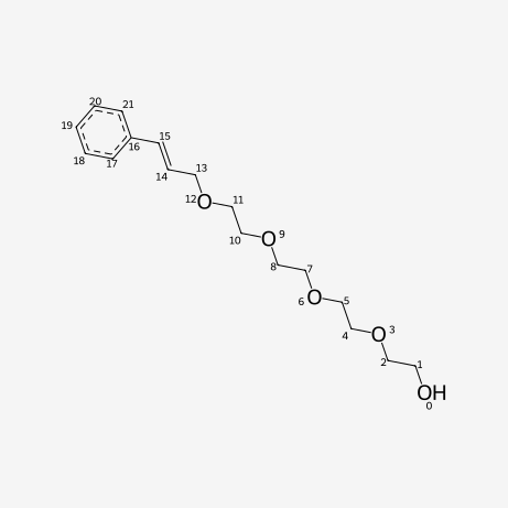 OCCOCCOCCOCCOCC=Cc1ccccc1